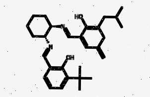 C=C1C=C(C=N[C@@H]2CCCC[C@H]2N=Cc2cccc(C(C)(C)C)c2O)C(O)=C(CC(C)C)C1